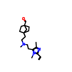 C=Cc1nc(C)c(CCN(C)CCC23CCC(C=O)(CC2)C3)n1C